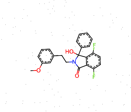 COc1cccc(CCN2C(=O)c3c(F)ccc(F)c3C2(O)c2ccccc2)c1